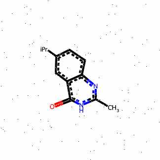 Cc1nc2ccc(C(C)C)cc2c(=O)[nH]1